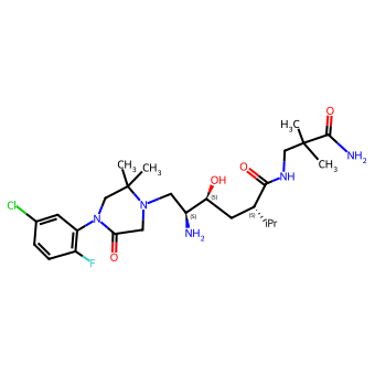 CC(C)[C@H](C[C@H](O)[C@@H](N)CN1CC(=O)N(c2cc(Cl)ccc2F)CC1(C)C)C(=O)NCC(C)(C)C(N)=O